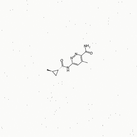 Cc1cc(NC(=O)[C@@H]2C[C@H]2C)nnc1C(N)=O